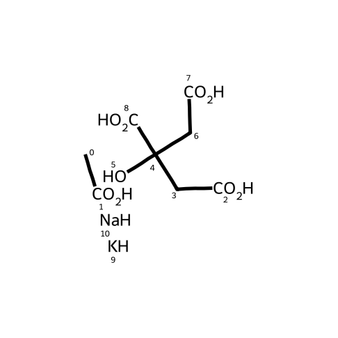 CC(=O)O.O=C(O)CC(O)(CC(=O)O)C(=O)O.[KH].[NaH]